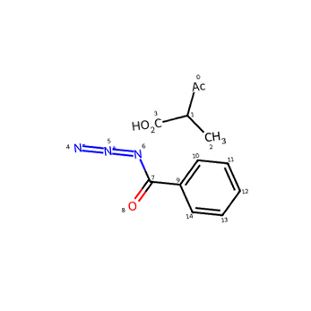 CC(=O)C(C)C(=O)O.[N-]=[N+]=NC(=O)c1ccccc1